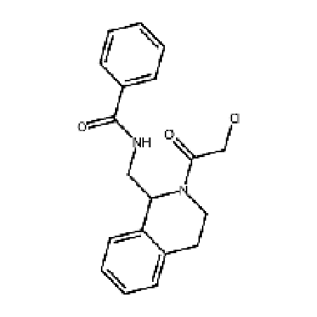 O=C(NCC1c2ccccc2CCN1C(=O)CCl)c1ccccc1